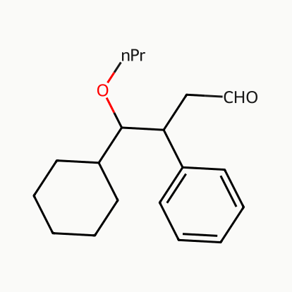 CCCOC(C1CCCCC1)C(CC=O)c1ccccc1